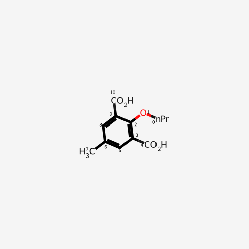 CCCOc1c(C(=O)O)cc(C)cc1C(=O)O